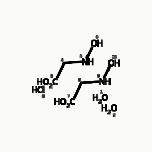 Cl.O.O.O=C(O)CNO.O=C(O)CNO